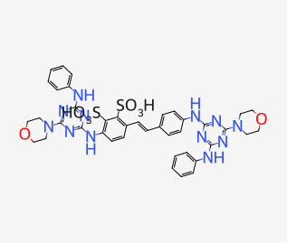 O=S(=O)(O)c1c(C=Cc2ccc(Nc3nc(Nc4ccccc4)nc(N4CCOCC4)n3)cc2)ccc(Nc2nc(Nc3ccccc3)nc(N3CCOCC3)n2)c1S(=O)(=O)O